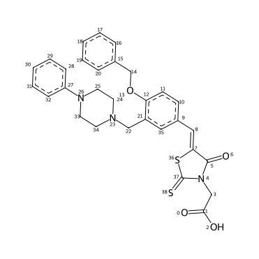 O=C(O)CN1C(=O)C(=Cc2ccc(OCc3ccccc3)c(CN3CCN(c4ccccc4)CC3)c2)SC1=S